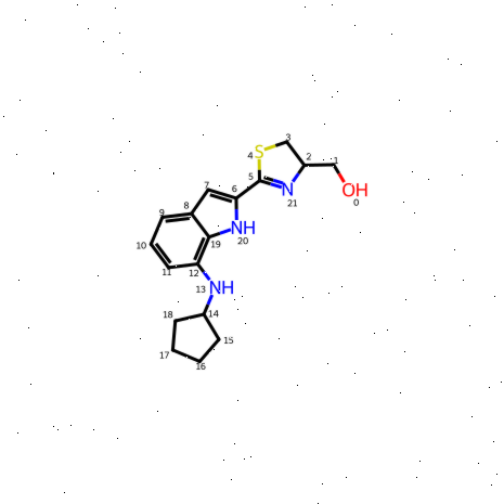 OCC1CSC(c2cc3cccc(NC4CCCC4)c3[nH]2)=N1